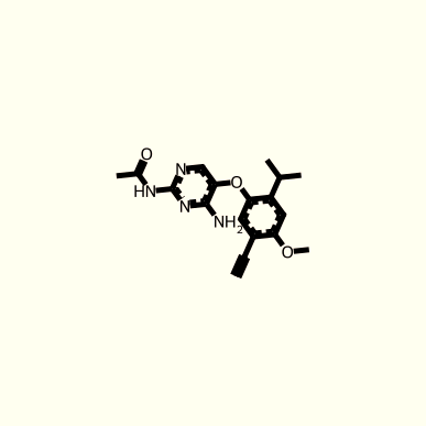 C#Cc1cc(Oc2cnc(NC(C)=O)nc2N)c(C(C)C)cc1OC